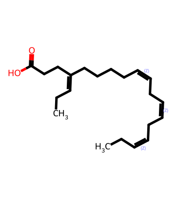 CCC=C(CCCC/C=C\C/C=C\C/C=C\CC)CCC(=O)O